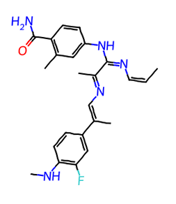 C\C=C/N=C(Nc1ccc(C(N)=O)c(C)c1)\C(C)=N\C=C(/C)c1ccc(NC)c(F)c1